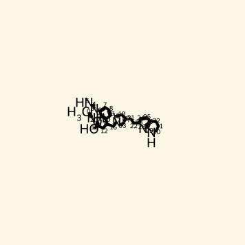 CC(=N)N(C=N)c1cccc(C(CC(=O)O)CN2CC[C@@H](CCc3ccc4c(n3)NCCC4)C2)c1